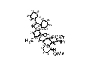 CO/N=C1\CCCc2c(Cc3c(C)cc(N=C(c4ccccc4)c4ccccc4)cc3C)ccc(O[Si](C(C)C)(C(C)C)C(C)C)c21